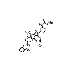 CC#CCn1c(N2CCCC(NC(=O)OC(C)(C)C)C2)nc2c1c(=O)n(CC(=O)NCc1ccccc1N)c(=O)n2C